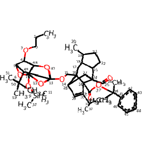 CCCOC1C2OC3(O[SiH](C)C)OC(OCC45CC6C(C)CCC6C6(C=O)CC4C=C(C(C)C)C65C(=O)OC(C)(C)c4ccccc4)(OC13)C2C(C)(C)C